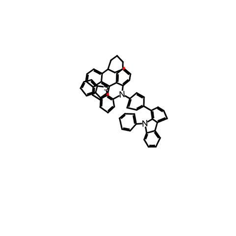 c1ccc(-n2c3ccccc3c3cccc(-c4ccc(N(c5ccccc5-c5cccc6cccc(C7CCCCC7)c56)c5cccc6c5sc5ccccc56)cc4)c32)cc1